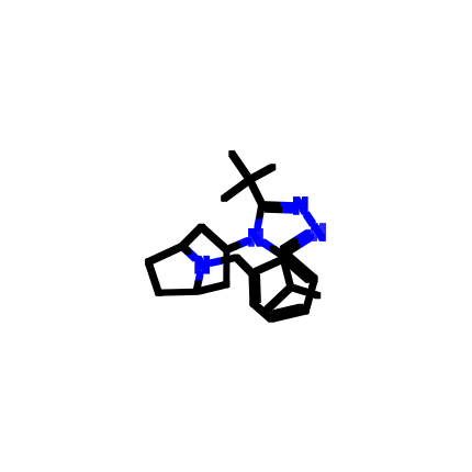 CC(C)c1nnc(C(C)(C)C)n1C1CC2CCC(C1)N2Cc1ccccc1